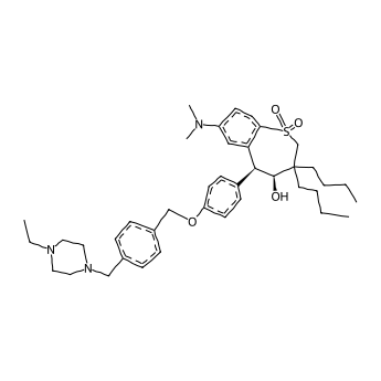 CCCCC1(CCCC)CS(=O)(=O)c2ccc(N(C)C)cc2[C@H](c2ccc(OCc3ccc(CN4CCN(CC)CC4)cc3)cc2)[C@@H]1O